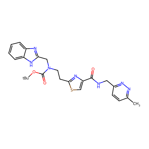 Cc1ccc(CNC(=O)c2csc(CCN(Cc3nc4ccccc4[nH]3)C(=O)OC(C)(C)C)n2)nn1